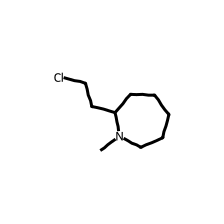 CN1CCCCCC1CCCl